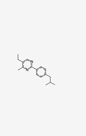 CCc1cnc(-c2ccc(CC(C)C)cc2)nc1C